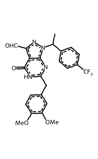 COc1ccc(Cc2nc3c(c(C=O)nn3C(C)c3ccc(C(F)(F)F)cc3)c(=O)[nH]2)cc1OC